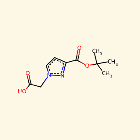 CC(C)(C)OC(=O)c1ccn(CC(=O)O)n1